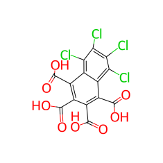 O=C(O)c1c(C(=O)O)c(C(=O)O)c2c(Cl)c(Cl)c(Cl)c(Cl)c2c1C(=O)O